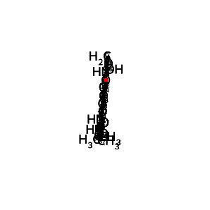 C=CCOC[C@@H](O)NCCOCCOCCOCCOCCOCCNC(=O)CONC(=O)OC(C)(C)C